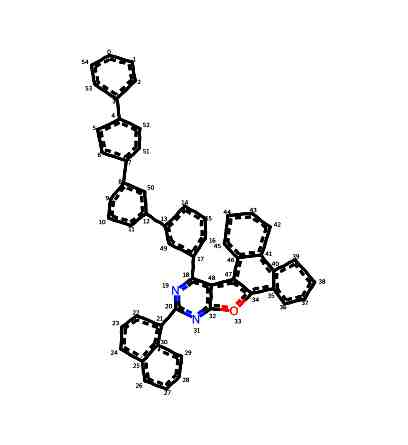 c1ccc(-c2ccc(-c3cccc(-c4cccc(-c5nc(-c6cccc7ccccc67)nc6oc7c8ccccc8c8ccccc8c7c56)c4)c3)cc2)cc1